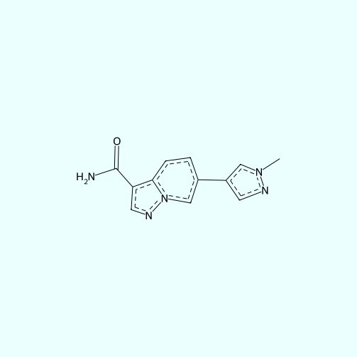 Cn1cc(-c2ccc3c(C(N)=O)cnn3c2)cn1